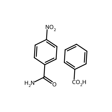 NC(=O)c1ccc([N+](=O)[O-])cc1.O=C(O)c1ccccc1